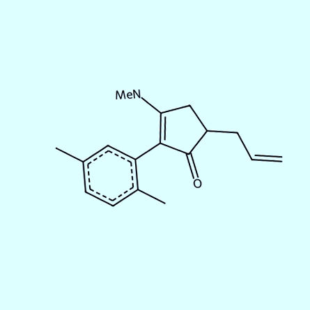 C=CCC1CC(NC)=C(c2cc(C)ccc2C)C1=O